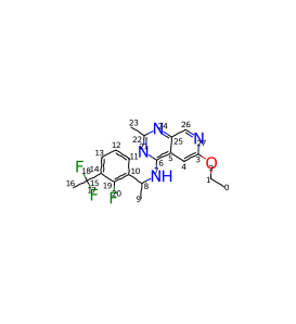 CCOc1cc2c(NC(C)c3cccc(C(C)(F)F)c3F)nc(C)nc2cn1